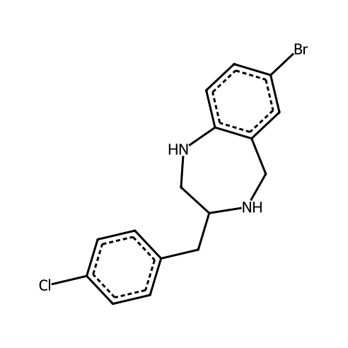 Clc1ccc(CC2CNc3ccc(Br)cc3CN2)cc1